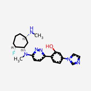 CN[C@H]1CCC[C@@H](F)[C@@H](N(C)c2ccc(-c3ccc(-n4ccnc4)cc3O)nn2)C1